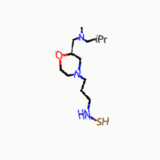 CC(C)CN(C)C[C@H]1CN(CCCNS)CCO1